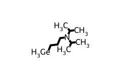 CC(C)N(CC[CH2][GeH3])C(C)C